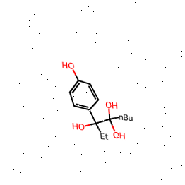 CCCCC(O)(O)C(O)(CC)c1ccc(O)cc1